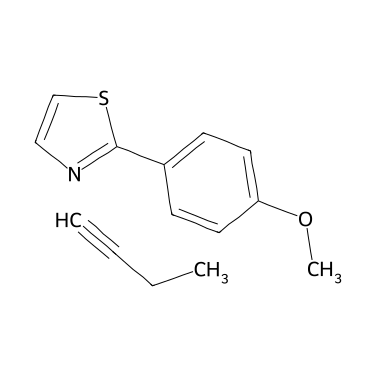 C#CCC.COc1ccc(-c2nccs2)cc1